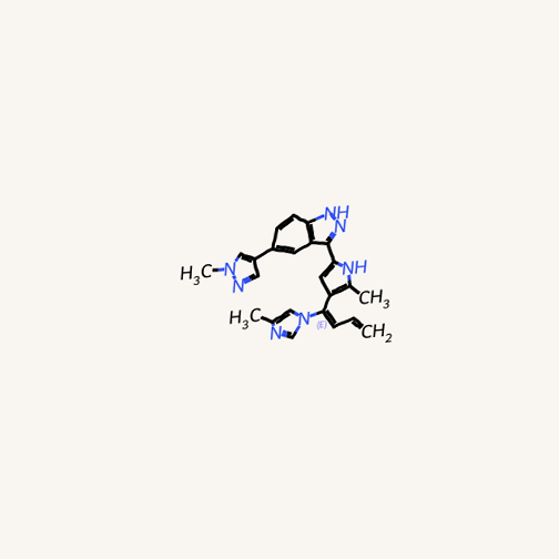 C=C/C=C(\c1cc(-c2n[nH]c3ccc(-c4cnn(C)c4)cc23)[nH]c1C)n1cnc(C)c1